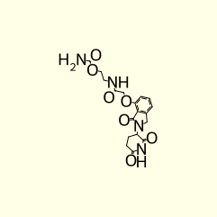 NC(=O)OCCNC(=O)COc1cccc2c1C(=O)N(C1CCC(=O)NC1=O)C2